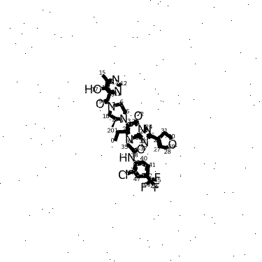 CCc1c(N2CCN(C(=O)c3ncnc(C)c3O)C[C@@H]2C)c(=O)n2nc(C3=CCOCC3)nc2n1CC(=O)Nc1ccc(C(F)(F)F)cc1Cl